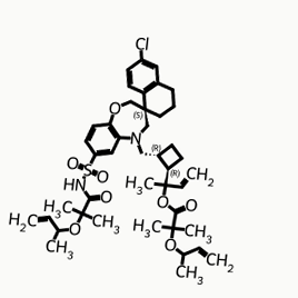 C=CC(C)OC(C)(C)C(=O)NS(=O)(=O)c1ccc2c(c1)N(C[C@@H]1CC[C@H]1C(C)(C=C)OC(=O)C(C)(C)OC(C)C=C)C[C@@]1(CCCc3cc(Cl)ccc31)CO2